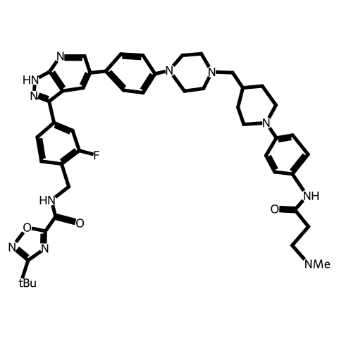 CNCCC(=O)Nc1ccc(N2CCC(CN3CCN(c4ccc(-c5cnc6[nH]nc(-c7ccc(CNC(=O)c8nc(C(C)(C)C)no8)c(F)c7)c6c5)cc4)CC3)CC2)cc1